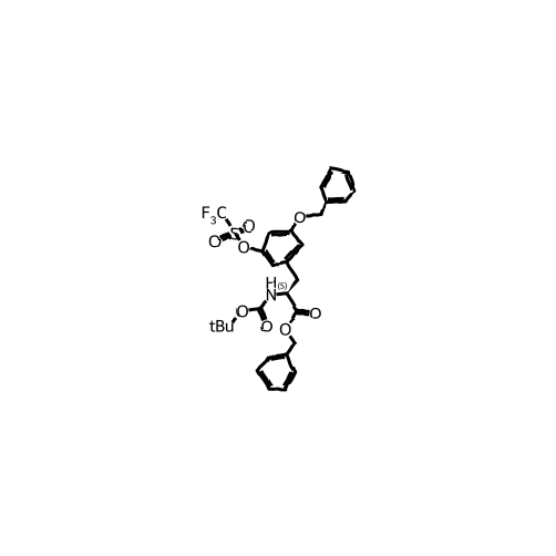 CC(C)(C)OC(=O)N[C@@H](Cc1cc(OCc2ccccc2)cc(OS(=O)(=O)C(F)(F)F)c1)C(=O)OCc1ccccc1